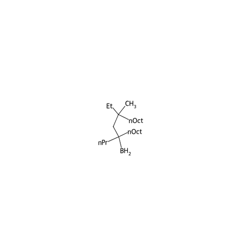 BC(CCC)(CCCCCCCC)CC(C)(CC)CCCCCCCC